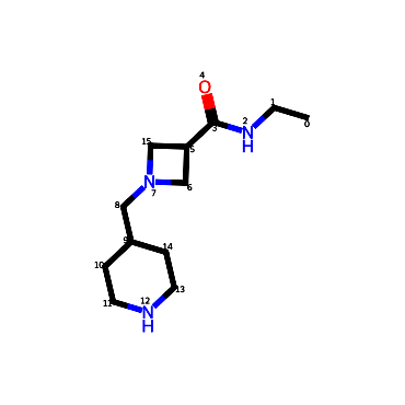 CCNC(=O)C1CN(CC2CCNCC2)C1